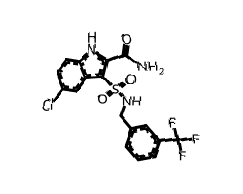 NC(=O)c1[nH]c2ccc(Cl)cc2c1S(=O)(=O)NCc1cccc(C(F)(F)F)c1